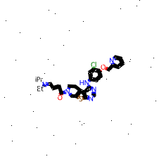 CCN(C/C=C/C(=O)N1CCc2c(sc3ncnc(Nc4ccc(OCc5ccccn5)c(Cl)c4)c23)C1)C(C)C